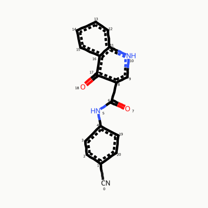 N#Cc1ccc(NC(=O)c2c[nH]c3ccccc3c2=O)cc1